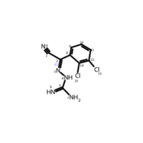 N#C/C(=N/NC(=N)N)c1cccc(Cl)c1Cl